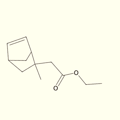 CCOC(=O)CC1(C)CC2C=CC1C2